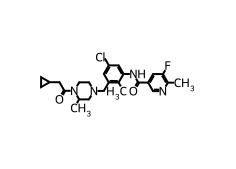 Cc1ncc(C(=O)Nc2cc(Cl)cc(CN3CCN(C(=O)CC4CC4)C(C)C3)c2C)cc1F